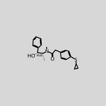 C[C@H]([C@H](O)c1ccccc1)N(C)C(=O)Cc1ccc(SC2CC2)cc1